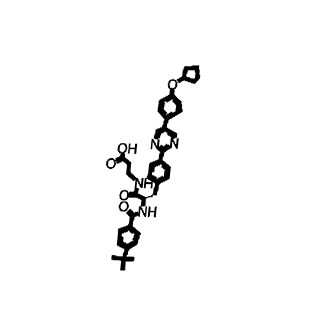 CC(C)(C)c1ccc(C(=O)N[C@@H](Cc2ccc(-c3ncc(-c4ccc(OC5CCCC5)cc4)cn3)cc2)C(=O)NCCC(=O)O)cc1